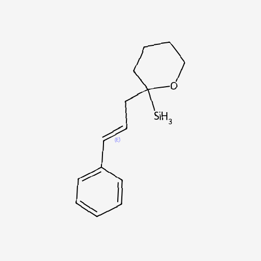 [SiH3]C1(C/C=C/c2ccccc2)CCCCO1